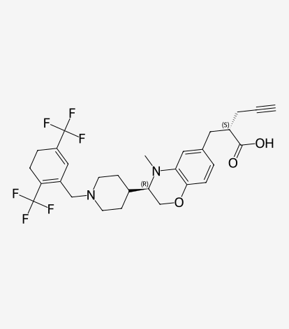 C#CC[C@@H](Cc1ccc2c(c1)N(C)[C@H](C1CCN(CC3=C(C(F)(F)F)CCC(C(F)(F)F)=C3)CC1)CO2)C(=O)O